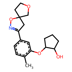 Cc1ccc(C2=NOC3(CCOC3)C2)cc1OC1CCCC1O